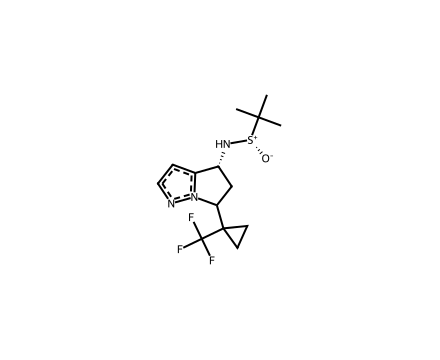 CC(C)(C)[S@+]([O-])N[C@@H]1CC(C2(C(F)(F)F)CC2)n2nccc21